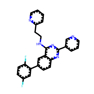 Fc1ccc(F)c(-c2ccc3nc(-c4cccnc4)nc(NCCc4ccccn4)c3c2)c1